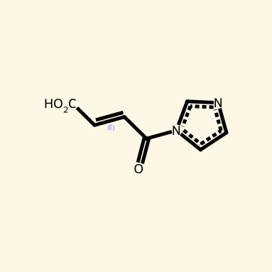 O=C(O)/C=C/C(=O)n1ccnc1